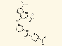 CC(C)c1cnn2c(Nc3cccc(NC(=O)c4ccc([N+](=O)[O-])cc4)c3)nc(S(C)(=O)=O)nc12